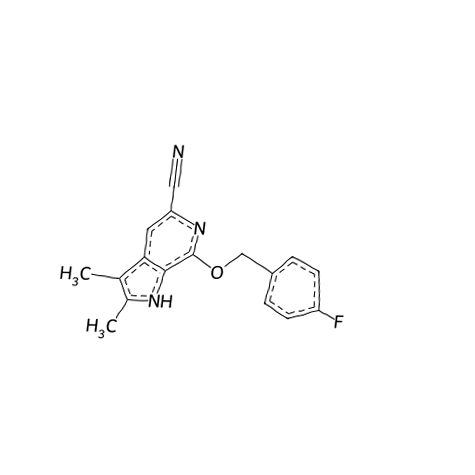 Cc1[nH]c2c(OCc3ccc(F)cc3)nc(C#N)cc2c1C